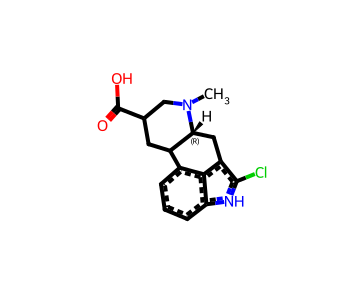 CN1CC(C(=O)O)CC2c3cccc4[nH]c(Cl)c(c34)C[C@H]21